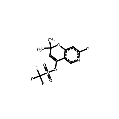 CC1(C)C=C(OS(=O)(=O)C(F)(F)F)c2cnc(Cl)cc2O1